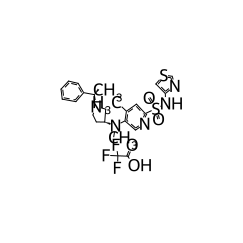 Cc1cc(S(=O)(=O)Nc2cscn2)ncc1N(C)[C@H]1CCN([C@H](C)c2ccccc2)C1.O=C(O)C(F)(F)F